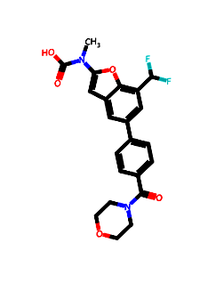 CN(C(=O)O)c1cc2cc(-c3ccc(C(=O)N4CCOCC4)cc3)cc(C(F)F)c2o1